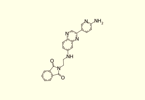 Nc1ccc(-c2cnc3ccc(NCCN4C(=O)c5ccccc5C4=O)cc3n2)cn1